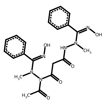 CC(=O)N(C(=O)CC(=O)NN(C)C(=NO)c1ccccc1)N(C)C(=NO)c1ccccc1